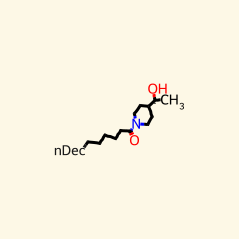 CCCCCCCCCCCCCCCC(=O)N1CCC([C](C)O)CC1